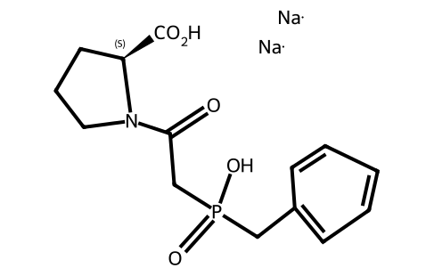 O=C(O)[C@@H]1CCCN1C(=O)CP(=O)(O)Cc1ccccc1.[Na].[Na]